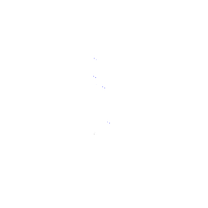 CC(O/N=[N+](\[O-])N(C)CCO)N1C(=O)c2ccccc2C1=O